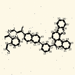 C=C(/N=C\C=C(/C)c1ccc2cc(-c3cccc(-c4nc5ccccc5c5c4ccc4c6ccccc6sc45)c3)ccc2c1)c1ncccc1/C=C\C